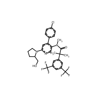 CN(C(=O)C(C)(C)c1cc(C(F)(F)F)cc(C(F)(F)F)c1)c1cnc(N2CCCC2CO)cc1-c1ccc(Cl)cc1